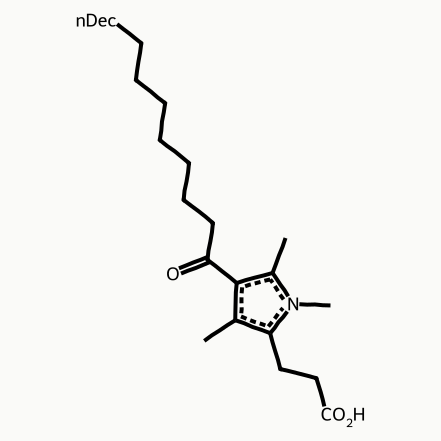 CCCCCCCCCCCCCCCCCC(=O)c1c(C)c(CCC(=O)O)n(C)c1C